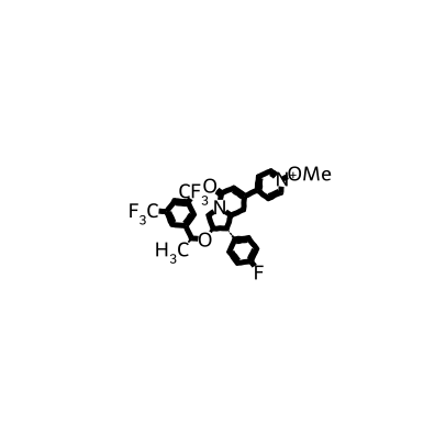 CO[n+]1ccc(C2=CC(=O)N3C[C@H](O[C@H](C)c4cc(C(F)(F)F)cc(C(F)(F)F)c4)[C@@H](c4ccc(F)cc4)C3C2)cc1